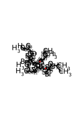 CCCCC(CC)COC(=O)c1sc2c(-c3cc4c(-c5ccc(CC(CC)CCCC)s5)c5sc(-c6sc(Br)c7c(F)c(C(=O)OCC(CC)CCCC)sc67)cc5c(-c5ccc(CC(CC)CCCC)s5)c4s3)sc(Br)c2c1F